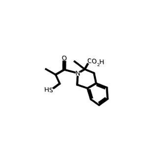 CC(CS)C(=O)N1Cc2ccccc2CC1(C)C(=O)O